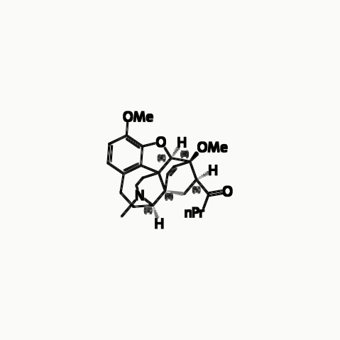 CCCC(=O)[C@H]1C[C@@]23C=C[C@]1(OC)[C@@H]1Oc4c(OC)ccc5c4C12CCN(C)[C@@H]3CC5